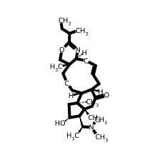 CCC(C)C1=N[C@H]2C/C=C/C[C@@H]3C(=O)C[C@]4(C)[C@@H]([C@H](C)N(C)C)[C@H](O)C[C@@]4(C)[C@@H]3CCC[C@]2(C)CO1